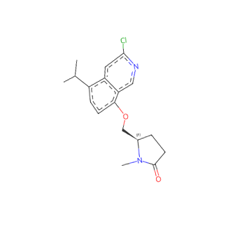 CC(C)c1ccc(OC[C@H]2CCC(=O)N2C)c2cnc(Cl)cc12